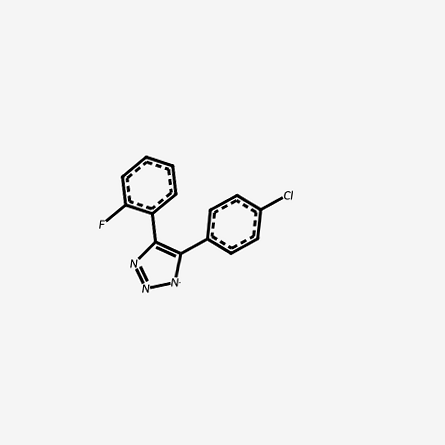 Fc1ccccc1C1=C(c2ccc(Cl)cc2)[N]N=N1